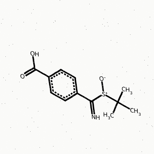 CC(C)(C)[S+]([O-])C(=N)c1ccc(C(=O)O)cc1